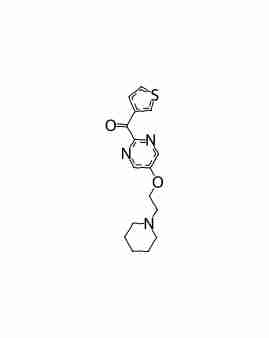 O=C(c1ccsc1)c1ncc(OCCN2CCCCC2)cn1